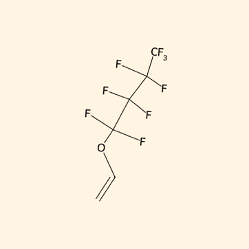 C=COC(F)(F)C(F)(F)C(F)(F)C(F)(F)F